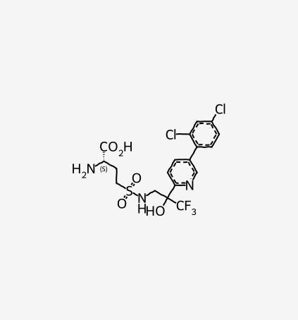 N[C@@H](CCS(=O)(=O)NCC(O)(c1ccc(-c2ccc(Cl)cc2Cl)cn1)C(F)(F)F)C(=O)O